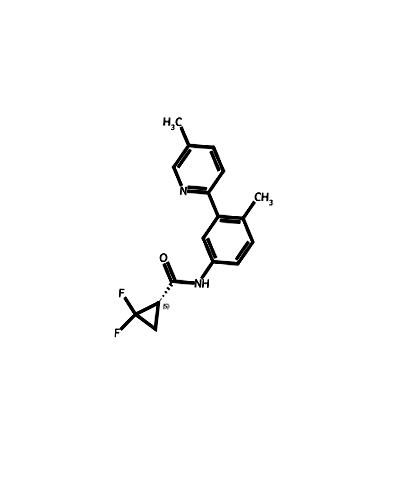 Cc1ccc(-c2cc(NC(=O)[C@@H]3CC3(F)F)ccc2C)nc1